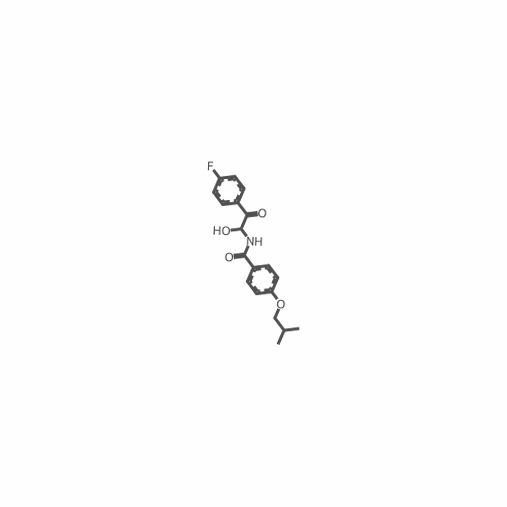 CC(C)COc1ccc(C(=O)NC(O)C(=O)c2ccc(F)cc2)cc1